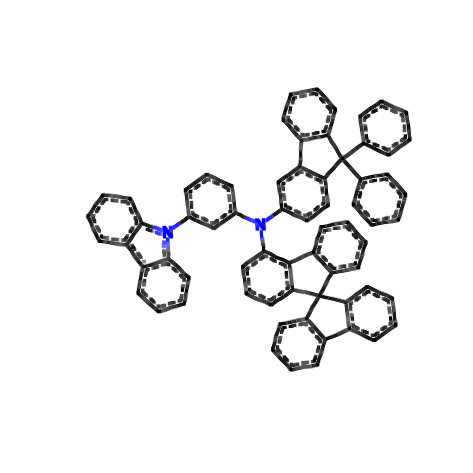 c1ccc(C2(c3ccccc3)c3ccccc3-c3cc(N(c4cccc(-n5c6ccccc6c6ccccc65)c4)c4cccc5c4-c4ccccc4C54c5ccccc5-c5ccccc54)ccc32)cc1